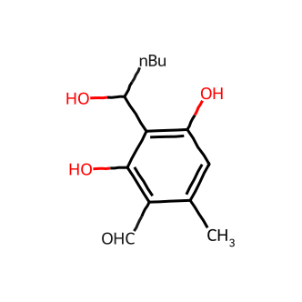 CCCCC(O)c1c(O)cc(C)c(C=O)c1O